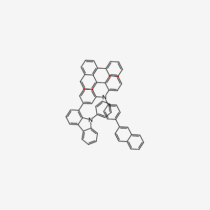 c1ccc(-c2cccc3cccc(-c4ccccc4N(c4ccc(-c5ccc6ccccc6c5)cc4)c4cccc(-c5cccc6c7ccccc7n(-c7ccccc7)c56)c4)c23)cc1